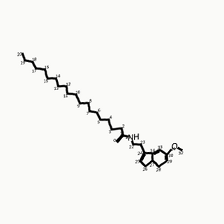 C=C(CCCCCCCCCCCCCCCCCCC)NCCC1=CCC2CC=C(OC)C=C12